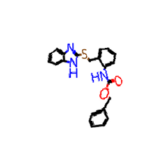 O=C(Nc1ccccc1CSc1nc2ccccc2[nH]1)OCc1ccccc1